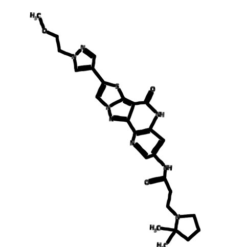 COCCn1cc(-c2cn3nc4c5ncc(NC(=O)CCN6CCCC6(C)C)cc5[nH]c(=O)c4c3s2)cn1